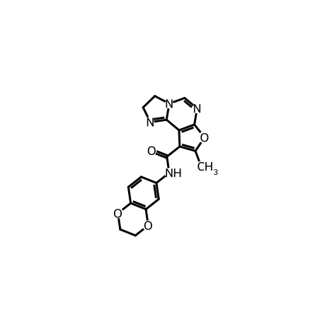 Cc1oc2c(c1C(=O)Nc1ccc3c(c1)OCCO3)C1=NCCN1C=N2